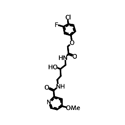 COc1ccnc(C(=O)NCCC(O)CNC(=O)COc2ccc(Cl)c(F)c2)c1